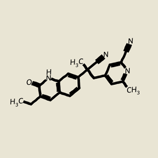 CCc1cc2ccc(C(C)(C#N)Cc3cc(C)nc(C#N)c3)cc2[nH]c1=O